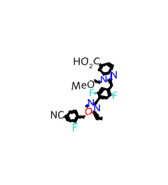 C=N/C(=N\C(=C/C)OCc1ccc(C#N)cc1F)c1cc(F)c(Cc2nc3ccc(C(=O)O)cc3n2CCOC)cc1F